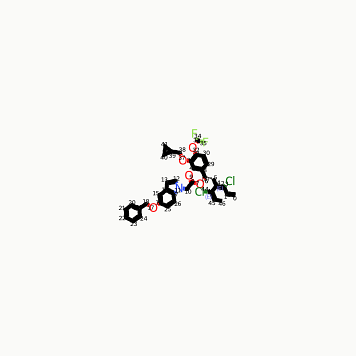 C=C/C(Cl)=C(C[C@H](OC(=O)Cn1ccc2cc(OCc3ccccc3)ccc21)c1ccc(OC(F)F)c(OCC2CC2)c1)\C(Cl)=C/C